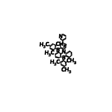 Cc1cc(C)c(B2c3ccccc3N3c4ccc(-c5cccnc5)cc4B(c4c(C)cc(C)cc4C)c4cccc2c43)c(C)c1